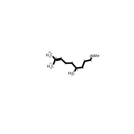 CNCCCC(C)CCC=C(C)C